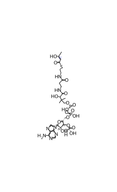 C/C(O)=C/C(=O)SCCNC(=O)CCNC(=O)C(O)C(C)(C)COP(=O)(O)OP(=O)(O)OC[C@H]1O[C@@H](n2cnc3c(N)ncnc32)[C@H](O)[C@@H]1OP(=O)(O)O